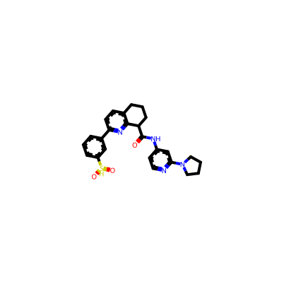 O=C(Nc1ccnc(N2CCCC2)c1)C1CCCc2ccc(-c3cccc([SH](=O)=O)c3)nc21